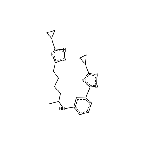 CC(CCCCc1nc(C2CC2)no1)Nc1cccc(-c2nc(C3CC3)no2)c1